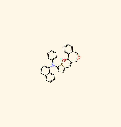 O=C1/C(=C\c2ccc(N(c3ccccc3)c3cccc4ccccc34)s2)COCc2ccccc21